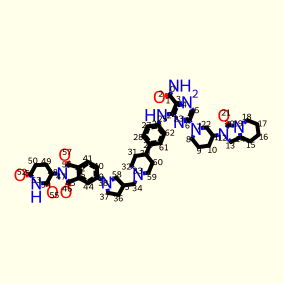 NC(=O)c1ncc(N2CCCC(N3CC4CCCCN4C3=O)C2)nc1Nc1ccc(C2CCN(CC3CCN(c4ccc5c(c4)C(=O)N(C4CCC(=O)NC4=O)C5=O)C3)CC2)cc1